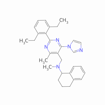 CCc1cccc(CC)c1-c1nc(C)c(CN(C)C2CCCc3ccccc32)c(-n2ccnc2)n1